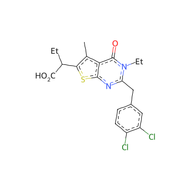 CCC(C(=O)O)c1sc2nc(Cc3ccc(Cl)c(Cl)c3)n(CC)c(=O)c2c1C